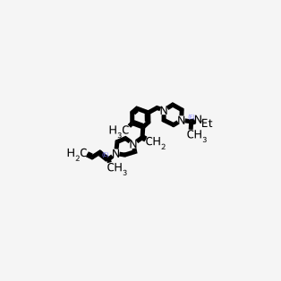 C=C/C=C(\C)N1CCN(C(=C)c2cc(CN3CCN(/C(C)=N/CC)CC3)ccc2C)CC1